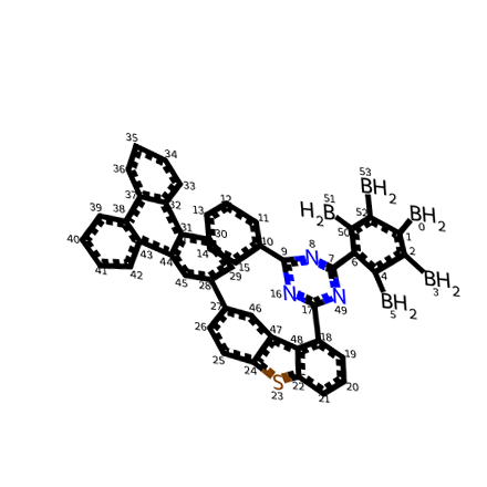 Bc1c(B)c(B)c(-c2nc(-c3ccccc3)nc(-c3cccc4sc5ccc(-c6ccc7c8ccccc8c8ccccc8c7c6)cc5c34)n2)c(B)c1B